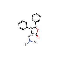 CCN(CC)C[C@@H]1C(=O)O[C@H](c2ccccc2)[C@@H]1c1ccccc1